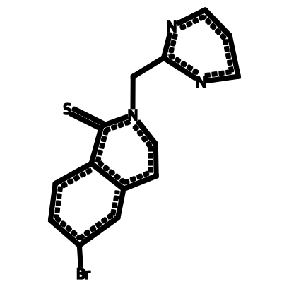 S=c1c2ccc(Br)cc2ccn1Cc1ncccn1